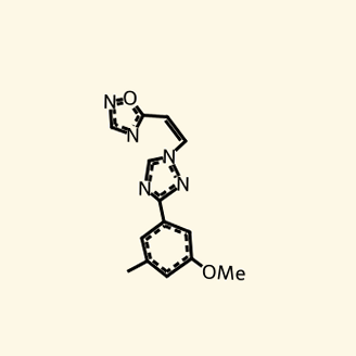 COc1cc(C)cc(-c2ncn(/C=C\c3ncno3)n2)c1